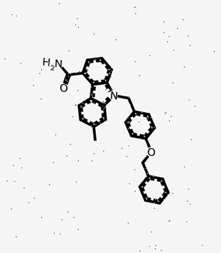 Cc1c[c]c2c3c(C(N)=O)cccc3n(Cc3ccc(OCc4ccccc4)cc3)c2c1